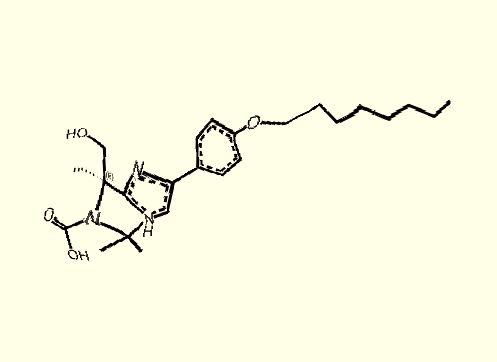 CCCCCCCCOc1ccc(-c2c[nH]c([C@](C)(CO)N(C(=O)O)C(C)(C)C)n2)cc1